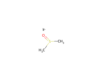 CS(C)=O.[Ir]